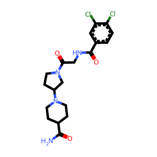 NC(=O)C1CCN(C2CCN(C(=O)CNC(=O)c3ccc(Cl)c(Cl)c3)C2)CC1